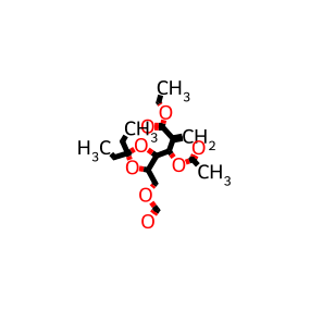 C=C(C(=O)OCC)C(OC(C)=O)C1OC(CC)(CC)OC1COC=O